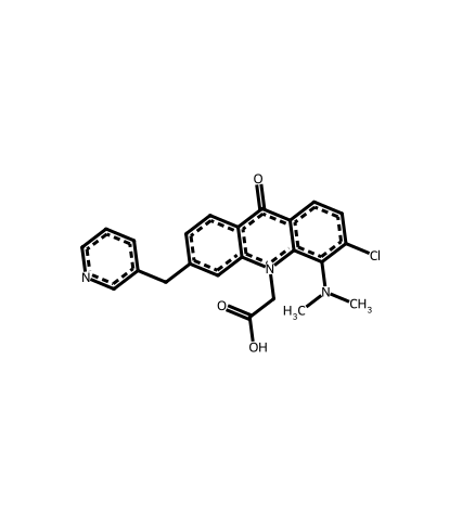 CN(C)c1c(Cl)ccc2c(=O)c3ccc(Cc4cccnc4)cc3n(CC(=O)O)c12